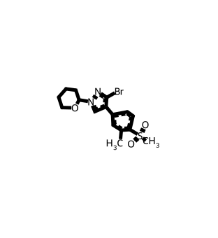 Cc1cc(-c2cn(C3CCCCO3)nc2Br)ccc1S(C)(=O)=O